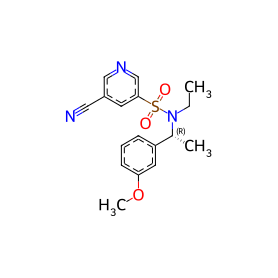 CCN([C@H](C)c1cccc(OC)c1)S(=O)(=O)c1cncc(C#N)c1